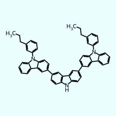 CCCc1cccc(-n2c3ccccc3c3cc(-c4ccc5[nH]c6ccc(-c7ccc8c(c7)c7ccccc7n8-c7cccc(CCC)c7)cc6c5c4)ccc32)c1